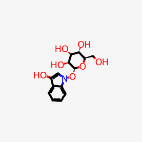 OC[C@H]1O[C@H](On2cc(O)c3ccccc32)[C@@H](O)[C@@H](O)[C@@H]1O